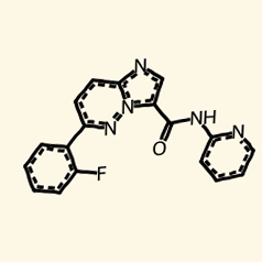 O=C(Nc1ccccn1)c1cnc2ccc(-c3ccccc3F)nn12